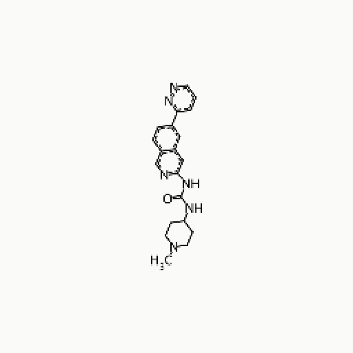 CN1CCC(NC(=O)Nc2cc3cc(-c4cccnn4)ccc3cn2)CC1